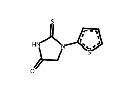 O=C1CN(c2cccs2)C(=S)N1